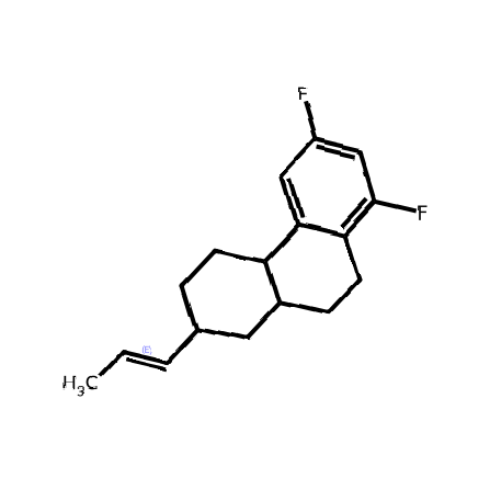 C/C=C/C1CCC2c3cc(F)cc(F)c3CCC2C1